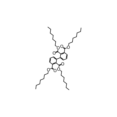 CCCCCCCOC(=O)c1cccc(-c2cccc(C(=O)OCCCCCCC)c2C(=O)OCCCCCCC)c1C(=O)OCCCCCCC